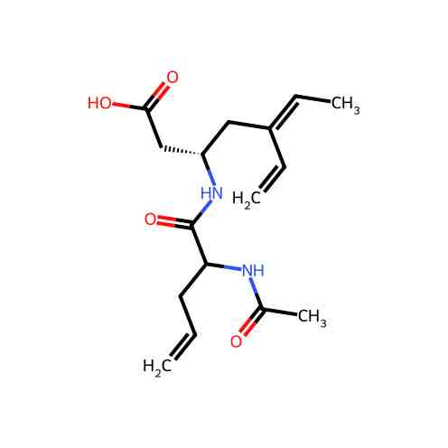 C=CCC(NC(C)=O)C(=O)N[C@H](CC(=O)O)C/C(C=C)=C/C